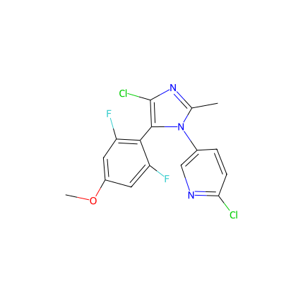 COc1cc(F)c(-c2c(Cl)nc(C)n2-c2ccc(Cl)nc2)c(F)c1